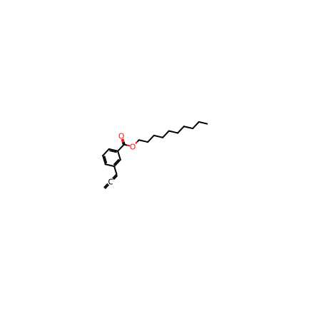 C=C=Cc1cccc(C(=O)OCCCCCCCCCC)c1